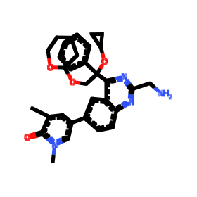 Cc1cc(-c2ccc3nc(CN)nc(C(COC4CCCCO4)(OC4CC4)c4ccccc4)c3c2)cn(C)c1=O